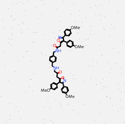 COc1ccc(-c2noc(CC(=O)CNCc3ccc(CNC(=O)Cc4onc(-c5ccc(OC)cc5)c4-c4ccc(OC)cc4)cc3)c2-c2ccc(OC)cc2)cc1